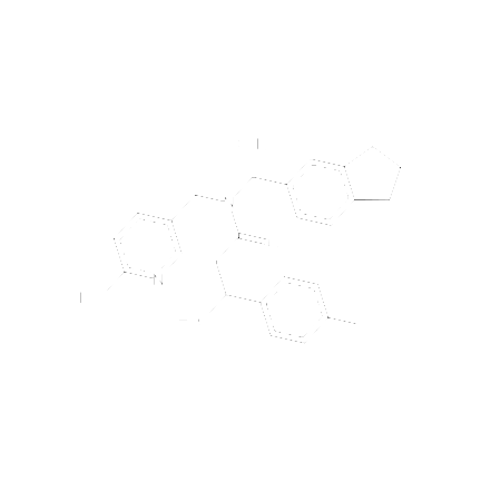 CC(CC(=O)N(Cc1ccc(C(F)(F)F)nc1)[C@H](C)c1ccc2c(c1)CCC2)c1ccc(F)cc1